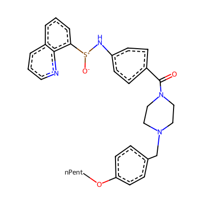 CCCCCOc1ccc(CN2CCN(C(=O)c3ccc(N[S+]([O-])c4cccc5cccnc45)cc3)CC2)cc1